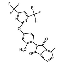 Cc1cc(Oc2nc(C(F)(F)F)cc(C(F)(F)F)n2)ccc1N1C(=O)c2cccc(I)c2C1=O